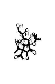 CC(=O)O[C@@](C(C)=O)(C(=O)C(C=O)(C(C)=O)C(C)=O)[C@@H](O)[C@@H](O)[C@H](O)CO